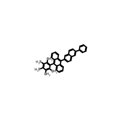 Bc1c(B)c(B)c(-c2c3ccccc3c(-c3ccc4cc(-c5ccccc5)ccc4c3)c3ccccc23)c(B)c1B